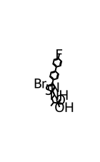 CC(CNc1nc(-c2ccc(-c3ccc(F)cc3)cc2)c(Br)s1)C(=O)O